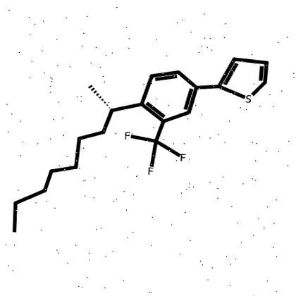 CCCCCCC[C@H](C)c1ccc(-c2cccs2)cc1C(F)(F)F